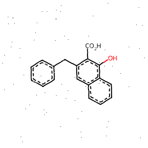 O=C(O)c1c(Cc2ccccc2)cc2ccccc2c1O